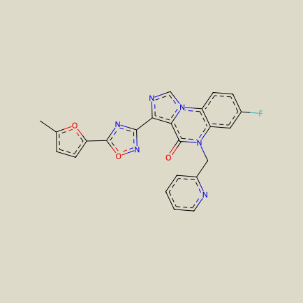 Cc1ccc(-c2nc(-c3ncn4c3c(=O)n(Cc3ccccn3)c3cc(F)ccc34)no2)o1